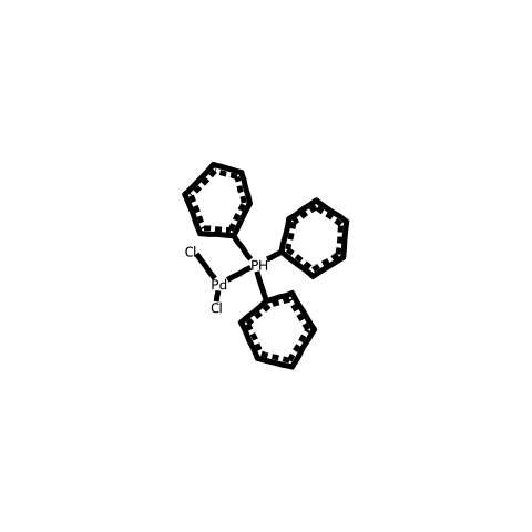 [Cl][Pd]([Cl])[PH](c1ccccc1)(c1ccccc1)c1ccccc1